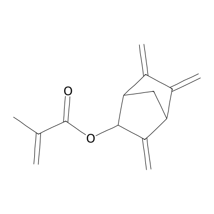 C=C(C)C(=O)OC1C(=C)C2CC1C(=C)C2=C